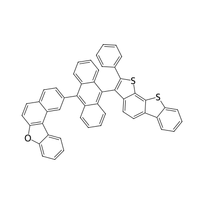 c1ccc(-c2sc3c(ccc4c5ccccc5sc43)c2-c2c3ccccc3c(-c3ccc4ccc5oc6ccccc6c5c4c3)c3ccccc23)cc1